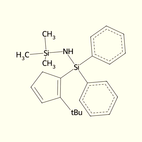 CC(C)(C)C1=C([Si](N[Si](C)(C)C)(c2ccccc2)c2ccccc2)CC=C1